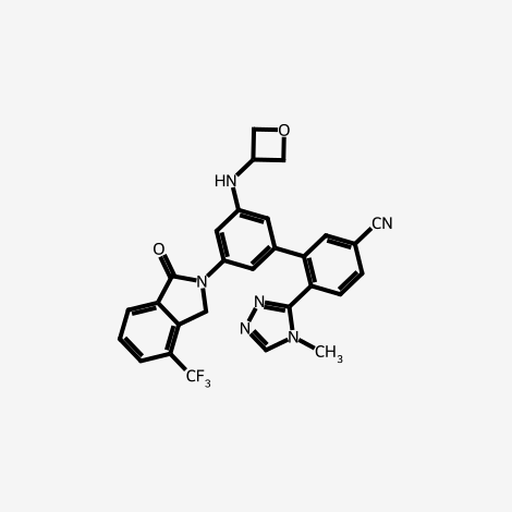 Cn1cnnc1-c1ccc(C#N)cc1-c1cc(NC2COC2)cc(N2Cc3c(cccc3C(F)(F)F)C2=O)c1